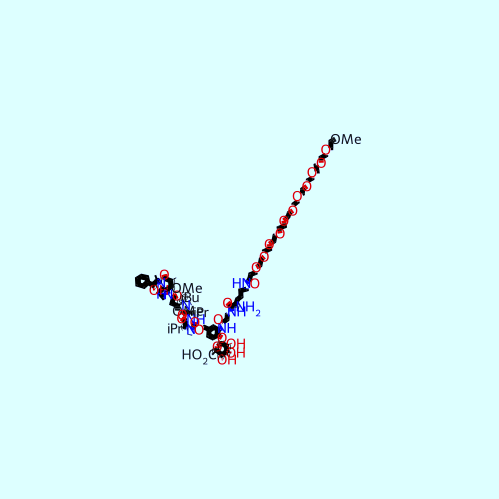 CC[C@H](C)[C@@H](C(CC(=O)N1CCC[C@H]1[C@H](OC)[C@@H](C)C(=O)N[C@H](C)[C@@H](O)c1ccccc1)OC)N(C)C(=O)C(NC(=O)[C@H](C(C)C)N(C)C(=O)OCc1ccc(O[C@@H]2O[C@H](C(=O)O)[C@@H](O)[C@H](O)[C@H]2O)c(NC(=O)CCNC(=O)[C@@H](N)CCCCNC(=O)CCOCCOCCOCCOCCOCCOCCOCCOCCOCCOCCOCCOC)c1)C(C)C